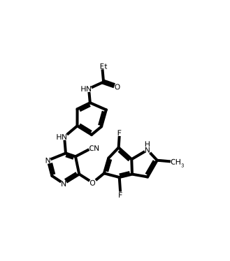 CCC(=O)Nc1cccc(Nc2ncnc(Oc3cc(F)c4[nH]c(C)cc4c3F)c2C#N)c1